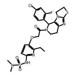 CCc1nc(NS(=O)(=O)N(C)C)ccc1OCC(=O)N1CCc2nc3n(c2C1c1ccc(Cl)cc1F)CCS3